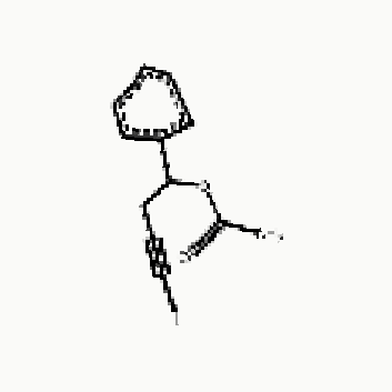 NC(=O)OC(CC#CI)c1ccccc1